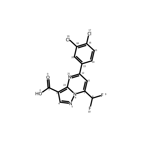 O=C(O)c1cnn2c(C(F)F)cc(-c3ccc(Cl)c(Cl)c3)nc12